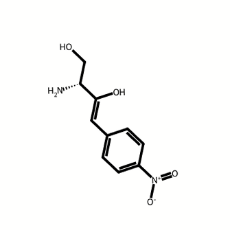 N[C@H](CO)C(O)=Cc1ccc([N+](=O)[O-])cc1